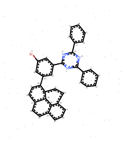 Brc1cc(-c2nc(-c3ccccc3)nc(-c3ccccc3)n2)cc(-c2ccc3ccc4cccc5ccc2c3c45)c1